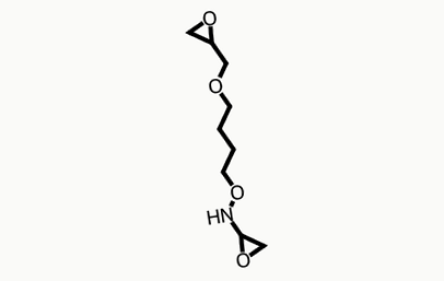 C(CCONC1CO1)COCC1CO1